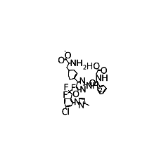 COC(=O)[C@@H](N)CC1CC=C(c2cc(O[C@H](c3ccc(Cl)cc3-n3ccc(C)n3)C(F)(F)F)nc(N)n2)CC1.O=C(O)CNC(=O)c1ccccc1